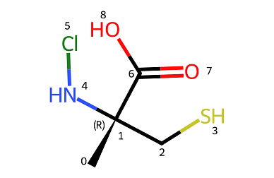 C[C@@](CS)(NCl)C(=O)O